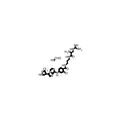 CCc1cc(Nc2nccn3c(-c4c[nH]nc4C(F)(F)F)cnc23)ccc1C(=O)NCCCNC(=O)C(N)CNC(=N)N.O=CO